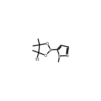 CCC1(C)OB(c2ccnn2C)OC1(C)C